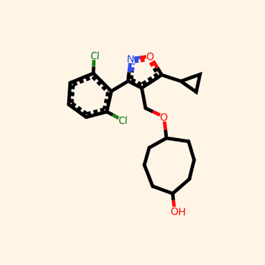 OC1CCCC(OCc2c(-c3c(Cl)cccc3Cl)noc2C2CC2)CCC1